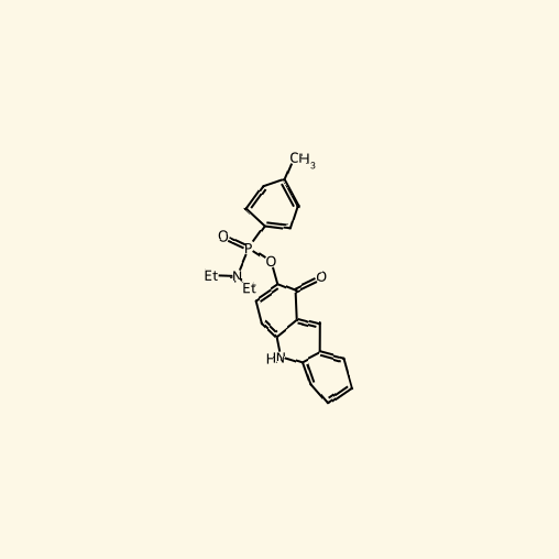 CCN(CC)P(=O)(Oc1ccc2[nH]c3ccccc3cc-2c1=O)c1ccc(C)cc1